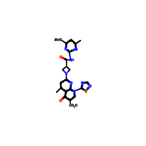 COc1cc(C)nc(NC(=O)C2CN(c3cc(C)c4c(=O)c(C(=O)O)cn(-c5ncns5)c4n3)C2)n1